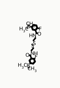 CB(C)c1ccc(F)c(C(=O)NCCSSCCNC(=O)c2cc(B(C)C)ccc2F)c1